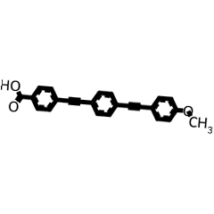 COc1ccc(C#Cc2ccc(C#Cc3ccc(C(=O)O)cc3)cc2)cc1